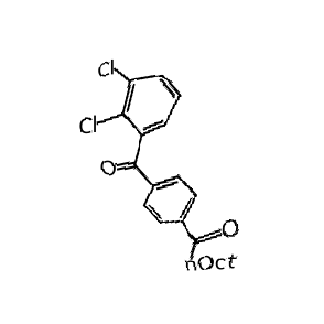 CCCCCCCCC(=O)c1ccc(C(=O)c2cccc(Cl)c2Cl)cc1